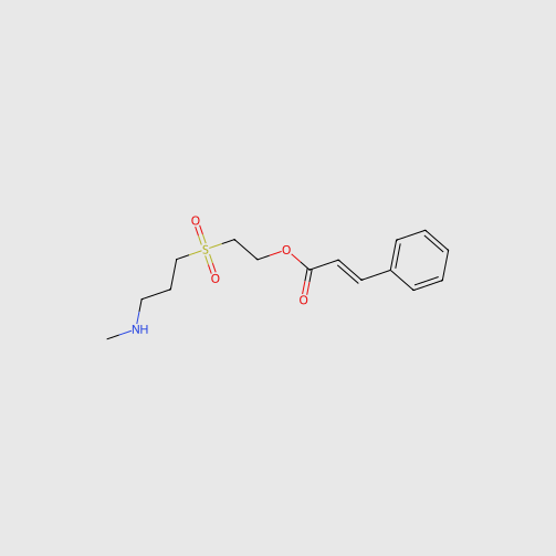 CNCCCS(=O)(=O)CCOC(=O)C=Cc1ccccc1